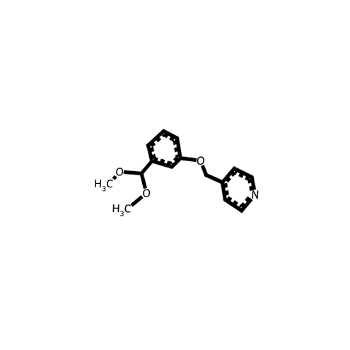 COC(OC)c1cccc(OCc2ccncc2)c1